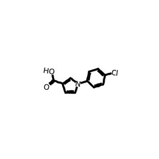 O=C(O)c1ccn(-c2ccc(Cl)cc2)c1